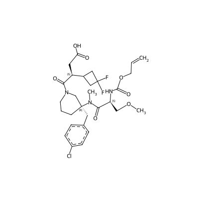 C=CCOC(=O)N[C@@H](COC)C(=O)N(C)[C@@]1(Cc2ccc(Cl)cc2)CCCN(C(=O)[C@@H](CC(=O)O)C2CC(F)(F)C2)C1